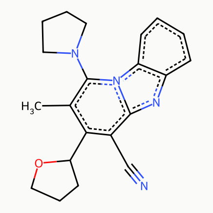 Cc1c(C2CCCO2)c(C#N)c2nc3ccccc3n2c1N1CCCC1